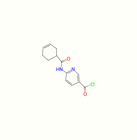 O=C(Cl)c1ccc(NC(=O)C2CC=CCC2)nc1